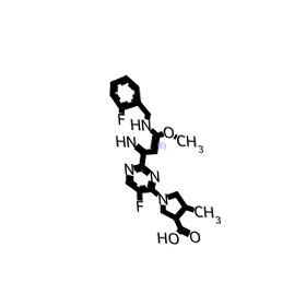 CO/C(=C/C(=N)c1ncc(F)c(N2CC(C)C(C(=O)O)C2)n1)NCc1ccccc1F